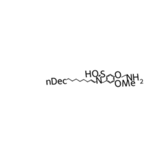 CCCCCCCCCCCCCCCCC=CN(Cc1ccc(OCCN)c(OC)c1)C(O)=S